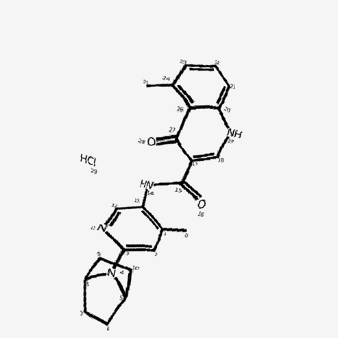 Cc1cc(N2C3CCC2CC3)ncc1NC(=O)c1c[nH]c2cccc(C)c2c1=O.Cl